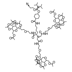 CC(=O)NC1C(OCCOCCNC(=O)CN(CC(=O)NCCOCCOC2(NC(C)=O)COC(COC(C)=O)C(OC(C)=O)C2OC(C)=O)C(CCCCNC(=O)C2CCC(OP(OCCC#N)N(C(C)C)C(C)C)CC2)C(=O)NCCOCCOC2OC(COC(C)=O)C(OC(C)=O)C(OC(C)=O)C2NC(C)=O)OC(COC(C)=O)C(OC(C)=O)C1OC(C)=O